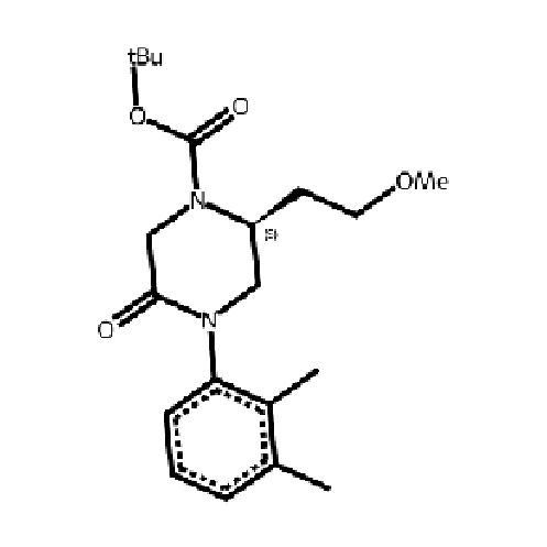 COCC[C@H]1CN(c2cccc(C)c2C)C(=O)CN1C(=O)OC(C)(C)C